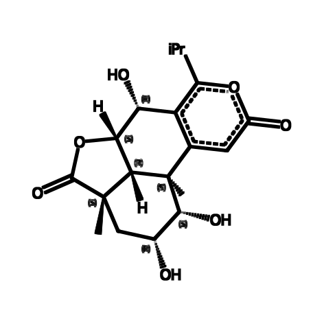 CC(C)c1oc(=O)cc2c1[C@@H](O)[C@H]1OC(=O)[C@@]3(C)C[C@@H](O)[C@@H](O)[C@@]2(C)[C@@H]13